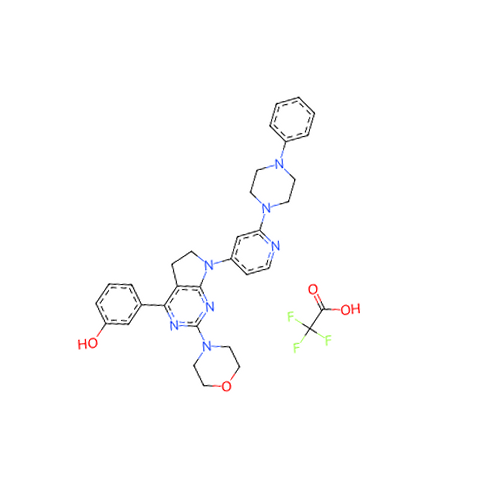 O=C(O)C(F)(F)F.Oc1cccc(-c2nc(N3CCOCC3)nc3c2CCN3c2ccnc(N3CCN(c4ccccc4)CC3)c2)c1